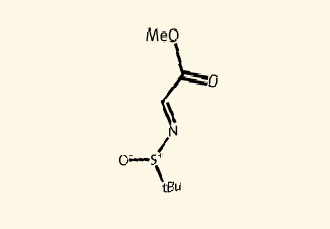 COC(=O)C=N[S+]([O-])C(C)(C)C